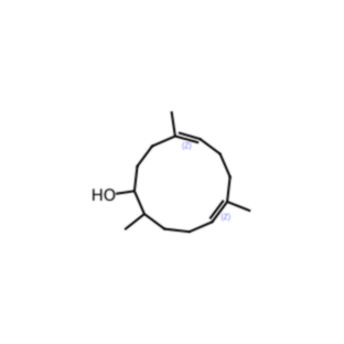 C/C1=C/CCC(C)C(O)CC/C(C)=C\CC1